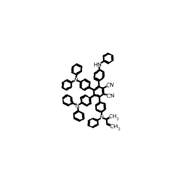 C=CC(=C)N(c1ccccc1)c1ccc(-c2c(C#N)c(C#N)c(-c3ccc(Nc4ccccc4)cc3)c(-c3ccc(N(c4ccccc4)c4ccccc4)cc3)c2-c2ccc(N(c3ccccc3)c3ccccc3)cc2)cc1